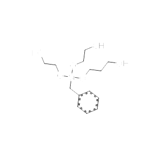 CCCO[Si](Cc1ccccc1)(OCCC)OCCCO